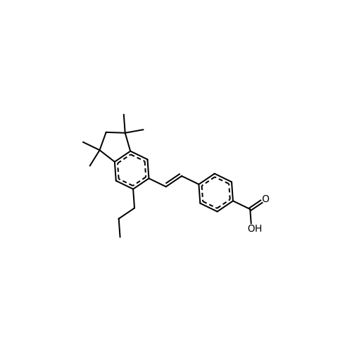 CCCc1cc2c(cc1/C=C/c1ccc(C(=O)O)cc1)C(C)(C)CC2(C)C